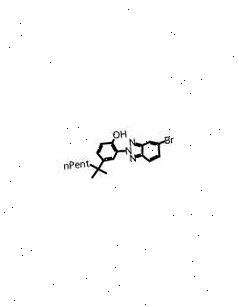 CCCCCC(C)(C)c1ccc(O)c(-n2nc3ccc(Br)cc3n2)c1